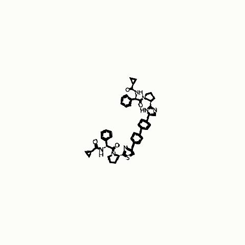 O=C(N[C@@H](C(=O)N1CCC[C@H]1c1ncc(-c2ccc(-c3ccc(-c4csc([C@@H]5CCCN5C(=O)[C@H](NC(=O)C5CC5)c5ccccc5)n4)cc3)cc2)[nH]1)c1ccccc1)C1CC1